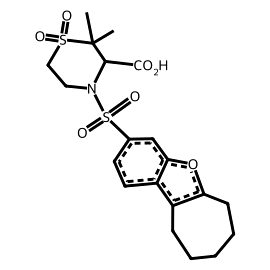 CC1(C)C(C(=O)O)N(S(=O)(=O)c2ccc3c4c(oc3c2)CCCCC4)CCS1(=O)=O